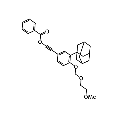 COCCOCOc1ccc(C#COC(=O)c2ccccc2)cc1C12CC3CC(CC(C3)C1)C2